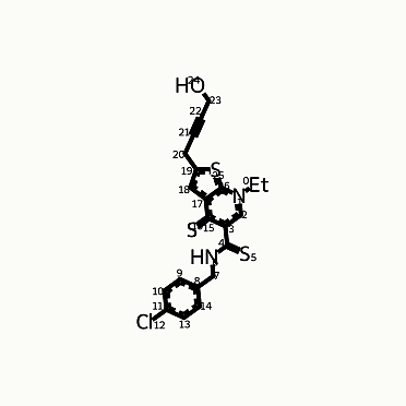 CCn1cc(C(=S)NCc2ccc(Cl)cc2)c(=S)c2cc(CC#CCO)sc21